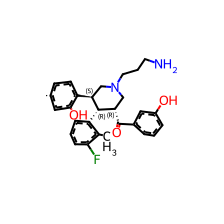 Cc1c(F)cccc1[C@H]1[C@@H](C(=O)c2cccc(O)c2)CN(CCCN)C[C@@H]1c1cc[c]cc1O